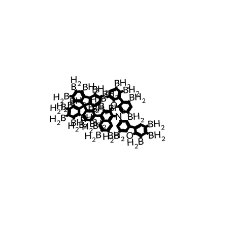 Bc1ccc2c(c1B)-c1c(B)c(B)c(B)c(B)c1C2(c1cc(B)c(B)c(-c2c(B)c(B)c(N(c3cc(B)c4oc5c(B)c(B)c(B)cc5c4c3)c3c(B)cc(B)c4c3oc3c(B)cc(B)c(B)c34)c3cc(B)c(B)c(B)c23)c1B)c1c(B)c(B)c(B)c(B)c1B